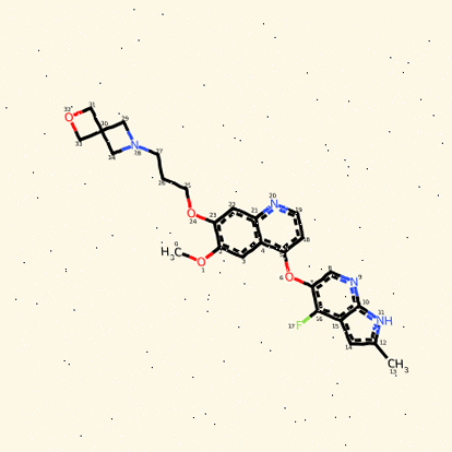 COc1cc2c(Oc3cnc4[nH]c(C)cc4c3F)ccnc2cc1OCCCN1CC2(COC2)C1